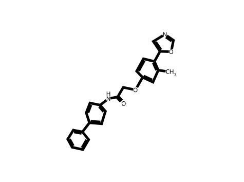 Cc1cc(OCC(=O)Nc2ccc(-c3ccccc3)cc2)ccc1-c1cnco1